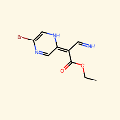 CCOC(=O)/C(C=N)=C1\C=NC(Br)=CN1